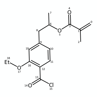 C=C(C)C(=O)OC(C)Cc1ccc(C(=O)Cl)c(OCC)c1